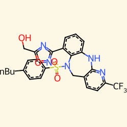 CCCCc1ccc(S(=O)(=O)N2Cc3ccc(C(F)(F)F)nc3Nc3cccc(-c4noc(CO)n4)c32)cc1